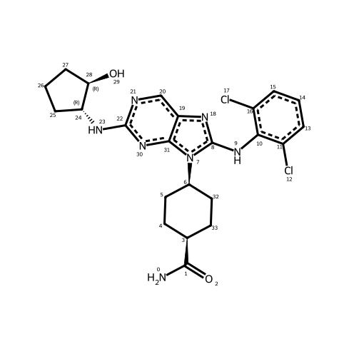 NC(=O)[C@H]1CC[C@@H](n2c(Nc3c(Cl)cccc3Cl)nc3cnc(N[C@@H]4CCC[C@H]4O)nc32)CC1